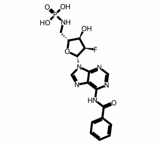 O=C(Nc1ncnc2c1ncn2[C@@H]1O[C@H](CNP(=O)(O)O)[C@@H](O)[C@H]1F)c1ccccc1